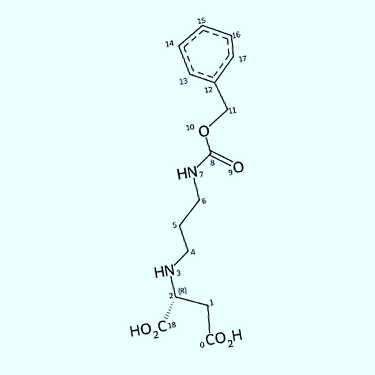 O=C(O)C[C@@H](NCCCNC(=O)OCc1ccccc1)C(=O)O